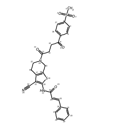 CS(=O)(=O)c1ccc(C(=O)CCC(=O)N2CCc3c(sc(NC(=O)C=Cc4ccccc4)c3C#N)C2)cc1